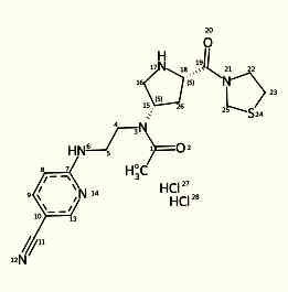 CC(=O)N(CCNc1ccc(C#N)cn1)[C@@H]1CN[C@H](C(=O)N2CCSC2)C1.Cl.Cl